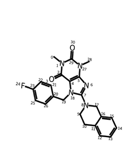 Cn1c(=O)c2c(nc(N3CCc4ccccc4C3)n2Cc2ccc(F)cc2)n(C)c1=O